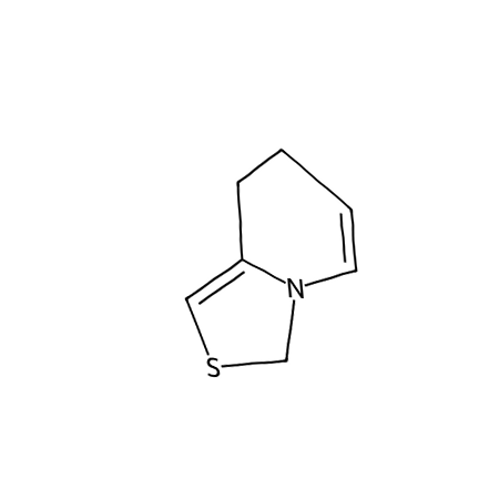 C1=CN2CSC=C2CC1